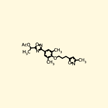 CC(=O)OC(C)c1nc(-c2cc(C)c(OCCCc3cc(C)no3)c(C)c2)no1